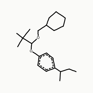 CCC(C)c1ccc(OC(OCC2CCCCC2)C(C)(C)C)cc1